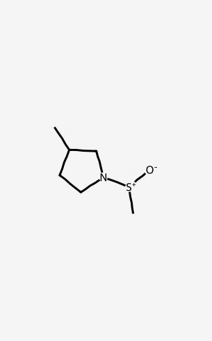 CC1CCN([S+](C)[O-])C1